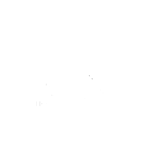 Cc1cccc2sc(SC=CC(=O)O)nc12